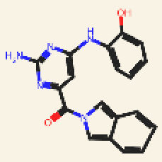 Nc1nc(Nc2ccccc2O)cc(C(=O)n2cc3ccccc3c2)n1